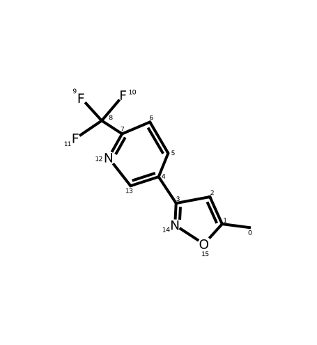 Cc1cc(-c2ccc(C(F)(F)F)nc2)no1